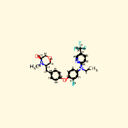 CCN(c1ccc(Oc2ccc(CC3COCC(=O)N3C)cc2)c(F)c1)c1ccc(C(F)(F)F)cn1